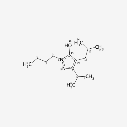 CCCCn1nc(C(C)C)c(CC(C)C)c1O